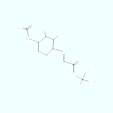 CC(C)(C)OC(=O)COC1CCC(NC(=O)O)C(O)C1O